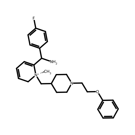 C[N@+]1(CC2CCN(CCOc3ccccc3)CC2)CC=CC=C1C(N)c1ccc(F)cc1